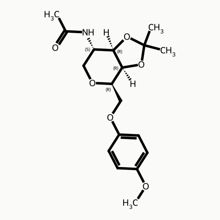 COc1ccc(OC[C@H]2OC[C@H](NC(C)=O)[C@H]3OC(C)(C)O[C@H]32)cc1